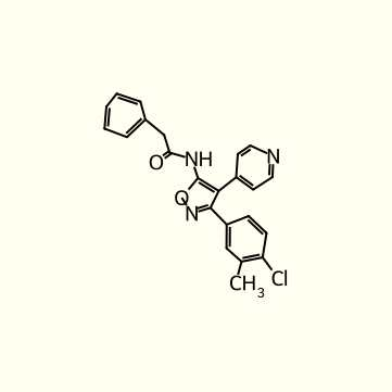 Cc1cc(-c2noc(NC(=O)Cc3ccccc3)c2-c2ccncc2)ccc1Cl